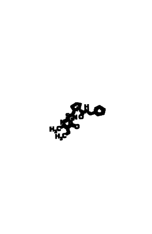 CCc1c(C)nc2sc(C3CCCN3C(=O)NCc3ccccc3)nn2c1=O